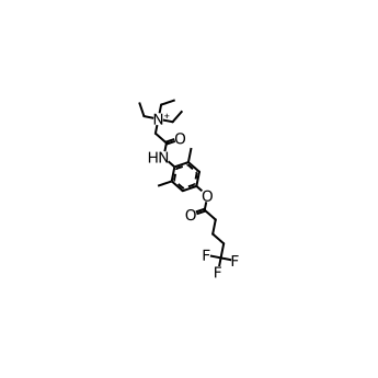 CC[N+](CC)(CC)CC(=O)Nc1c(C)cc(OC(=O)CCCC(F)(F)F)cc1C